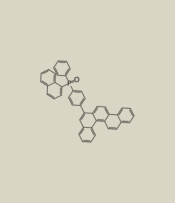 O=P(c1ccccc1)(c1ccc(-c2cc3ccccc3c3c2ccc2c4ccccc4ccc23)cc1)c1cccc2ccccc12